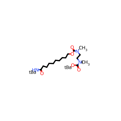 CN(CCN(C)C(=O)OC(C)(C)C)C(=O)OCCCCCCCCCC(=O)NC(C)(C)C